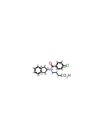 O=C(O)CCCN(C(=O)c1ccc(Cl)cc1)C1Cc2ccccc2C1